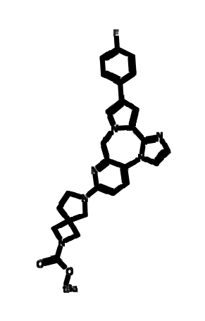 CC(C)(C)OC(=O)N1CC2(CCN(c3ccc4c(n3)Cn3cc(-c5ccc(F)cc5)cc3-c3nccn3-4)C2)C1